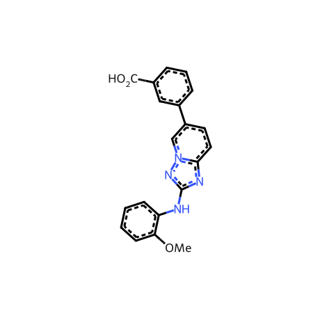 COc1ccccc1Nc1nc2ccc(-c3cccc(C(=O)O)c3)cn2n1